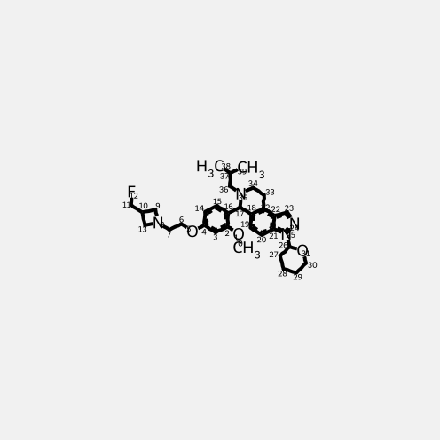 COc1cc(OCCN2CC(CF)C2)ccc1C1c2ccc3c(cnn3C3CCCCO3)c2CCN1CC(C)C